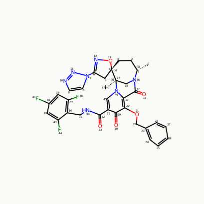 C[C@H]1CC[C@]2(CC(n3ccnn3)=NO2)[C@H]2CN1C(=O)c1c(OCc3ccccc3)c(=O)c(C(=O)NCc3c(F)cc(F)cc3F)cn12